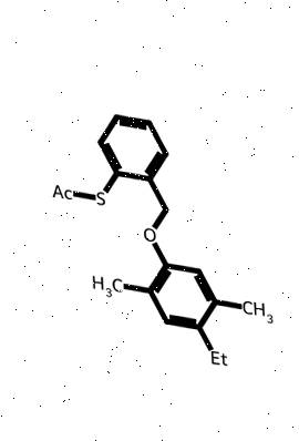 CCc1cc(C)c(OCc2ccccc2SC(C)=O)cc1C